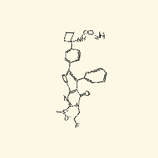 C[S+]([O-])c1nc2oc(-c3ccc(C4(NC(=O)O)CCC4)cc3)c(-c3ccccc3)c2c(=O)n1CCF